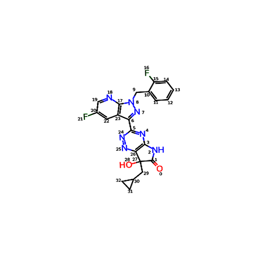 O=C1Nc2nc(-c3nn(Cc4ccccc4F)c4ncc(F)cc34)nnc2C1(O)CC1CC1